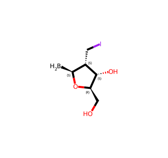 B[C@@H]1O[C@H](CO)[C@@H](O)[C@H]1CI